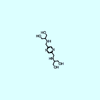 OCC(CO)NCc1cnc(CNC(CO)CO)cn1